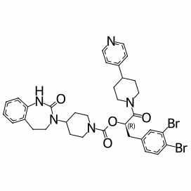 O=C(O[C@H](Cc1ccc(Br)c(Br)c1)C(=O)N1CCC(c2ccncc2)CC1)N1CCC(N2CCc3ccccc3NC2=O)CC1